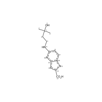 CC(C)(O)CCNc1ccn2nc(C(=O)O)cc2n1